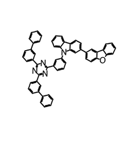 c1ccc(-c2cccc(-c3nc(-c4cccc(-c5ccccc5)c4)nc(-c4cccc(-n5c6ccccc6c6ccc(-c7ccc8oc9ccccc9c8c7)cc65)c4)n3)c2)cc1